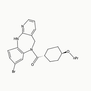 CCCO[C@H]1CC[C@H](C(=O)N2Cc3cccnc3Nc3ccc(Br)cc32)CC1